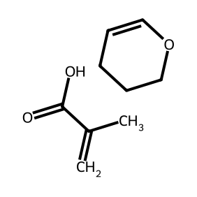 C1=COCCC1.C=C(C)C(=O)O